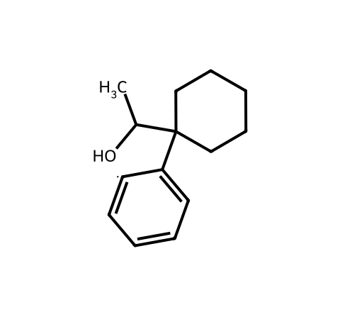 CC(O)C1(c2[c]cccc2)CCCCC1